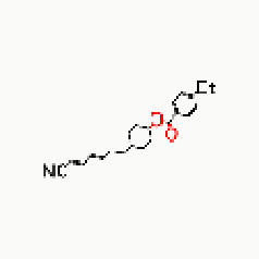 CCc1ccc(C(=O)OC2CCC(CC/C=C/C=CC#N)CC2)cc1